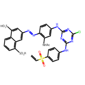 C=CS(=O)(=O)c1ccc(Nc2nc(Cl)nc(Nc3ccc(N=Nc4cc(S(=O)(=O)O)c5cccc(S(=O)(=O)O)c5c4)c(NC(C)=O)c3)n2)cc1